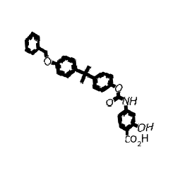 CC(C)(c1ccc(OCc2ccccc2)cc1)c1ccc(OC(=O)Nc2ccc(C(=O)O)c(O)c2)cc1